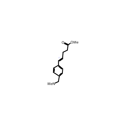 CNCc1ccc(/C=C/CCC(=O)OC)cc1